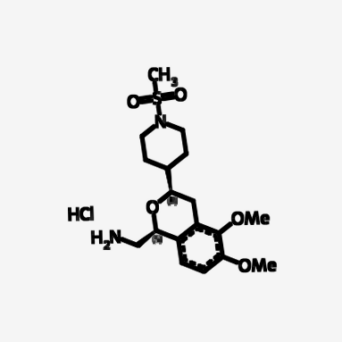 COc1ccc2c(c1OC)C[C@H](C1CCN(S(C)(=O)=O)CC1)O[C@@H]2CN.Cl